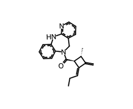 C=C1/C(=C/CC)[C@@H](C(=O)N2Cc3cccnc3Nc3ccccc32)[C@@H]1C